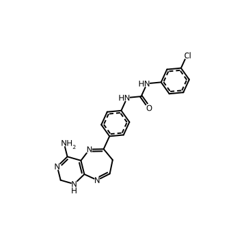 NC1=NCNC2=C1N=C(c1ccc(NC(=O)Nc3cccc(Cl)c3)cc1)CC=N2